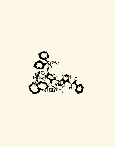 CC(C)(C)[Si](C)(C)OC1[C@H](n2cnc3c(NC(=O)c4ccccc4)ncnc32)O[C@H](CO[Si](c2ccccc2)(c2ccccc2)C(C)(C)C)C1(O)O[PH](=O)O[N+]12CCCCCC1=NCCC2